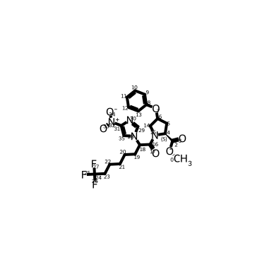 COC(=O)[C@@H]1CC(Oc2ccccc2)CN1C(=O)C(CCCCCC(F)(F)F)n1cnc([N+](=O)[O-])c1